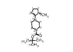 CN1CCN=C1N1CCN(C(=O)OC(C)(C)C)CC1